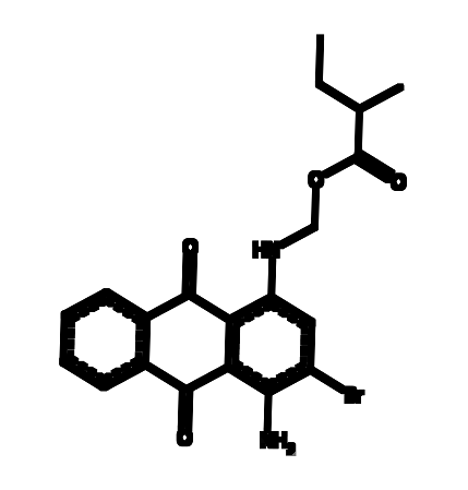 CCC(C)C(=O)OCNc1cc(Br)c(N)c2c1C(=O)c1ccccc1C2=O